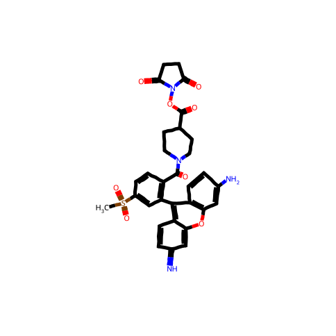 CS(=O)(=O)c1ccc(C(=O)N2CCC(C(=O)ON3C(=O)CCC3=O)CC2)c(-c2c3ccc(=N)cc-3oc3cc(N)ccc23)c1